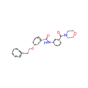 O=C(Nc1cccc(C(=O)N2CCOCC2)c1)c1cccc(OCCc2ccccc2)c1